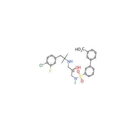 CN(C[C@H](O)CNC(C)(C)Cc1ccc(Cl)c(F)c1)S(=O)(=O)c1cccc(-c2cccc(C(=O)O)c2)c1